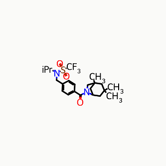 CC(C)N(Cc1ccc(C(=O)N2CC3(C)CC2CC(C)(C)C3)cc1)S(=O)(=O)C(F)(F)F